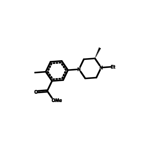 CCN1CCN(c2ccc(C)c(C(=O)OC)c2)C[C@@H]1C